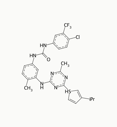 Cc1nc(Nc2cc(NC(=O)Nc3ccc(Cl)c(C(F)(F)F)c3)ccc2C)nc([SH]2C=CC(C(C)C)=C2)n1